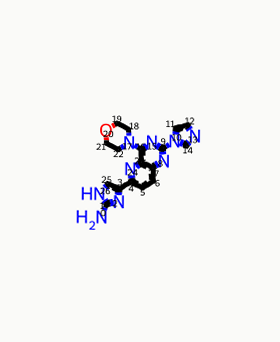 Nc1nc(-c2ccc3nc(-n4ccnc4)nc(N4CCOCC4)c3n2)c[nH]1